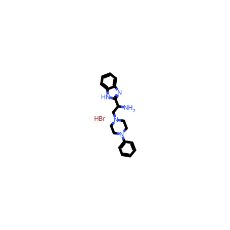 Br.NC(CN1CCN(c2ccccc2)CC1)c1nc2ccccc2[nH]1